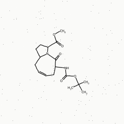 COC(=O)C1CCC2CC=CCC(NC(=O)OC(C)(C)C)C(=O)N21